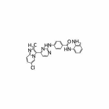 Cc1nc2ccc(Cl)cn2c1-c1ccnc(Nc2ccc(C(=O)Nc3ccccc3N)cc2)n1